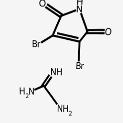 N=C(N)N.O=C1NC(=O)C(Br)=C1Br